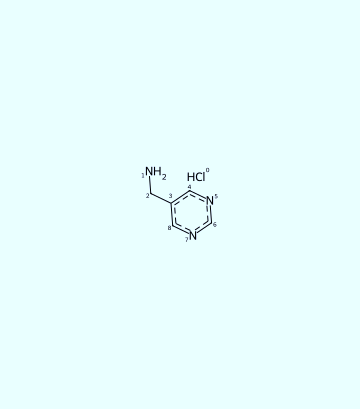 Cl.NCc1cncnc1